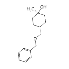 C[C@]1(O)CC[C@H](COCc2ccccc2)CC1